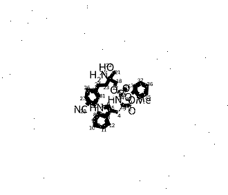 COC(=O)[C@H](Cc1c[nH]c2ccccc12)NP(=O)(OCC(N)(CO)CCc1ccc(C#N)cc1)Oc1ccccc1